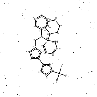 FC(F)(F)c1nc(-c2ccc(CN(c3cnccn3)C3(N4CCOCC4)C=CC=NN3)s2)no1